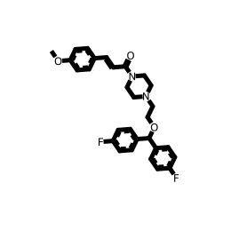 COc1ccc(/C=C/C(=O)N2CCN(CCOC(c3ccc(F)cc3)c3ccc(F)cc3)CC2)cc1